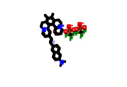 Cc1c(C)c2c(c3c1CC[n+]1ccc(/C=C/c4ccc5cc(N(C)C)ccc5c4)cc1-3)-c1c3ccccc3cc[n+]1CC2.O=S(=O)([O-])C(F)(F)F.O=S(=O)([O-])C(F)(F)F